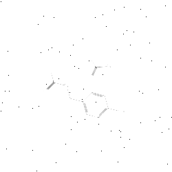 NC(O)=S.OC(=S)NCc1ccc(O)cc1